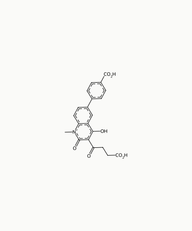 Cn1c(=O)c(C(=O)CCC(=O)O)c(O)c2cc(-c3ccc(C(=O)O)cc3)ccc21